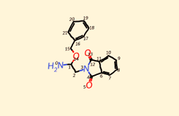 NC(CN1C(=O)c2ccccc2C1=O)OCc1ccccc1